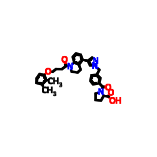 Cc1cccc(OCCCC(=O)N2CCCc3c(-c4cnn(Cc5cccc(C(=O)N6CCCC6C(=O)O)c5)c4)cccc32)c1C